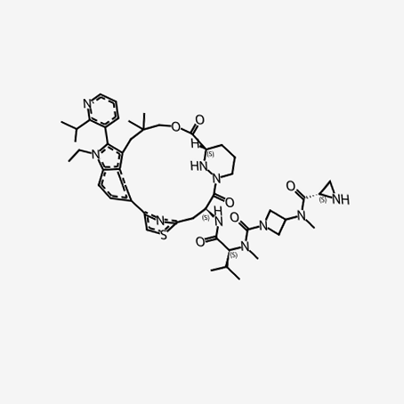 CCn1c(-c2cccnc2C(C)C)c2c3cc(ccc31)-c1csc(n1)C[C@H](NC(=O)[C@H](C(C)C)N(C)C(=O)N1CC(N(C)C(=O)[C@@H]3CN3)C1)C(=O)N1CCC[C@H](N1)C(=O)OCC(C)(C)C2